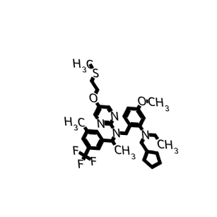 CCN(CC1CCCC1)c1cc(OC)ccc1CN(c1ncc(OCCSC)cn1)C(C)c1cc(C)cc(C(F)(F)F)c1